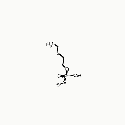 CCSCCO[P@](=O)(O)S[S]